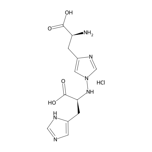 Cl.N[C@@H](Cc1cn(N[C@@H](Cc2cnc[nH]2)C(=O)O)cn1)C(=O)O